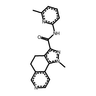 Cc1cccc(NC(=O)c2nn(C)c3c2CCc2cnccc2-3)n1